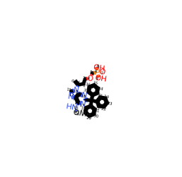 C=C(CCOCP(=O)(O)O)n1cnc2c(NOC)nc(C(c3ccccc3)(c3ccccc3)c3ccccc3)nc21